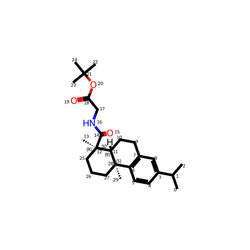 CC(C)c1ccc2c(c1)CC[C@H]1[C@](C)(C(=O)NCC(=O)OC(C)(C)C)CCC[C@]21C